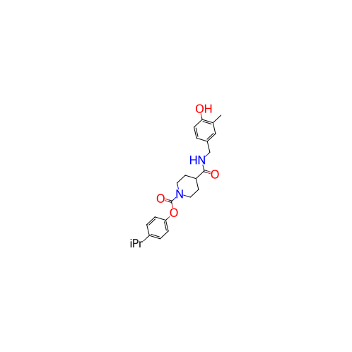 Cc1cc(CNC(=O)C2CCN(C(=O)Oc3ccc(C(C)C)cc3)CC2)ccc1O